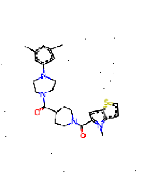 Cc1cc(C)cc(N2CCN(C(=O)C3CCN(C(=O)c4cc5sccc5n4C)CC3)CC2)c1